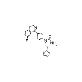 NC(=O)N(CCc1cccs1)c1ccc(C2=NCCc3ccc(F)cc32)cc1